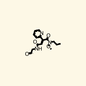 CCCN(OC)C(=O)C(=CC(=O)NC[C]=O)c1ccccn1